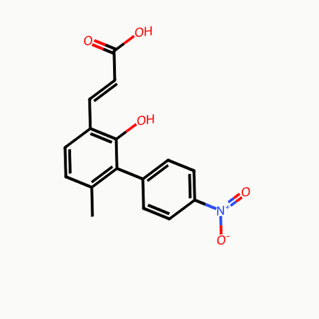 Cc1ccc(C=CC(=O)O)c(O)c1-c1ccc([N+](=O)[O-])cc1